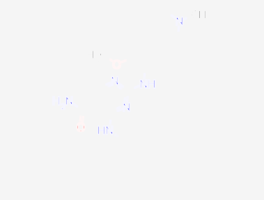 COc1cc2c(cc1Nc1ncc(C(N)=O)c(N[C@@H]3CCc4ccccc43)n1)CN(C)CC2